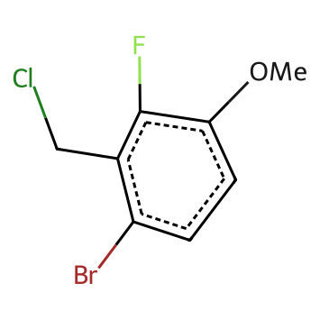 COc1ccc(Br)c(CCl)c1F